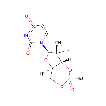 CCP1(=O)OC[C@H]2O[C@@H](n3ccc(=O)[nH]c3=O)[C@](C)(F)[C@@H]2O1